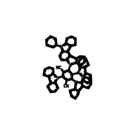 N#Cc1c(-n2c3ccccc3c3ccccc32)c(C#N)c(-n2c3ccccc3c3c4c5ccccc5n(-c5ccccc5)c4ccc32)c(-n2c3ccccc3c3ccccc32)c1-n1c2ccccc2c2ccccc21